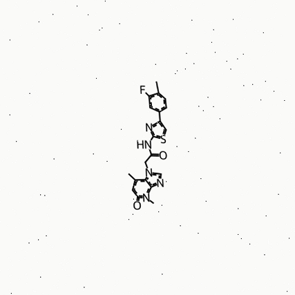 Cc1ccc(-c2csc(NC(=O)Cn3cnc4c3c(C)cc(=O)n4C)n2)cc1F